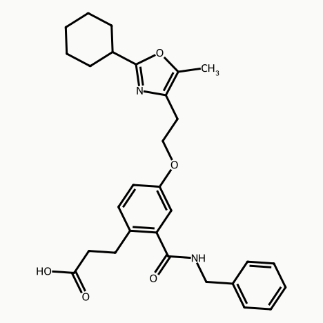 Cc1oc(C2CCCCC2)nc1CCOc1ccc(CCC(=O)O)c(C(=O)NCc2ccccc2)c1